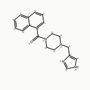 O=C(c1cccc2ccccc12)N1CCN(Cc2c[nH]cn2)CC1